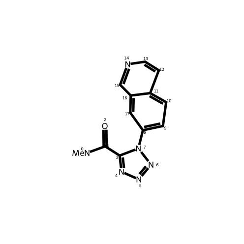 CNC(=O)c1nnnn1-c1ccc2ccncc2c1